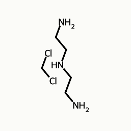 ClCCl.NCCNCCN